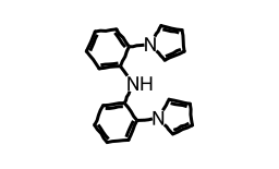 c1ccc(-n2cccc2)c(Nc2ccccc2-n2cccc2)c1